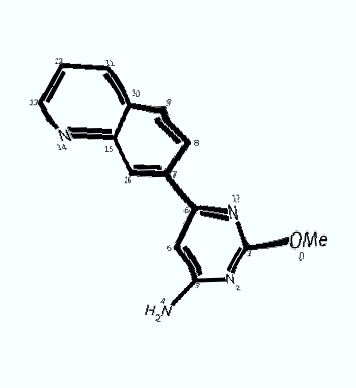 COc1nc(N)cc(-c2ccc3cccnc3c2)n1